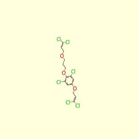 ClC(Cl)=CCOCCCOc1c(Cl)cc(OCC=C(Cl)Cl)cc1Cl